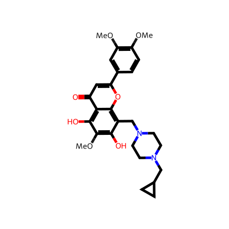 COc1ccc(-c2cc(=O)c3c(O)c(OC)c(O)c(CN4CCN(CC5CC5)CC4)c3o2)cc1OC